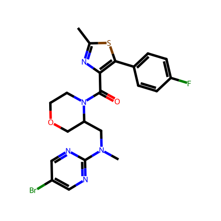 Cc1nc(C(=O)N2CCOCC2CN(C)c2ncc(Br)cn2)c(-c2ccc(F)cc2)s1